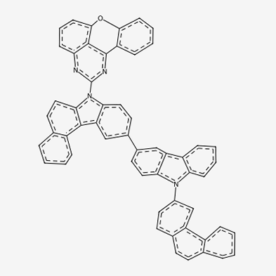 c1ccc2c(c1)Oc1cccc3nc(-n4c5ccc(-c6ccc7c(c6)c6ccccc6n7-c6ccc7ccc8ccccc8c7c6)cc5c5c6ccccc6ccc54)nc-2c13